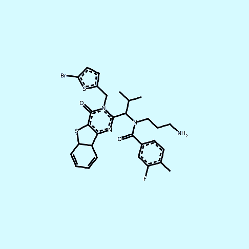 Cc1ccc(C(=O)N(CCCN)C(c2nc3c(c(=O)n2Cc2ccc(Br)s2)SC2C=CC=CC32)C(C)C)cc1F